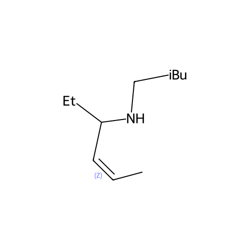 C/C=C\C(CC)NCC(C)CC